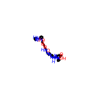 CC(=O)C1=C(C)c2cnc(Nc3ccc(N4CCN(CC(=O)NCCOCCOCCC(=O)Nc5ccccc5C(=O)Nc5ccccn5)CC4)cn3)nc2N(C2CCCC2)C1O